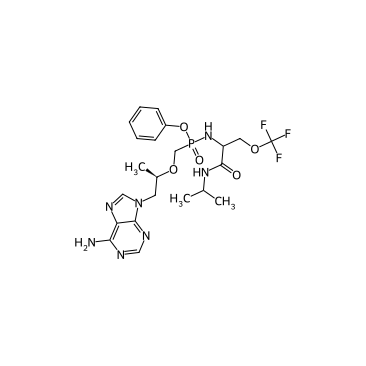 CC(C)NC(=O)C(COC(F)(F)F)NP(=O)(CO[C@H](C)Cn1cnc2c(N)ncnc21)Oc1ccccc1